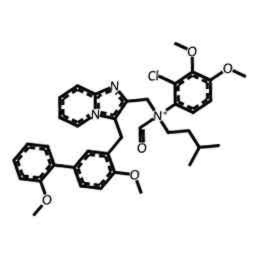 COc1ccc(-c2ccccc2OC)cc1Cc1c(C[N+](C=O)(CCC(C)C)c2ccc(OC)c(OC)c2Cl)nc2ccccn12